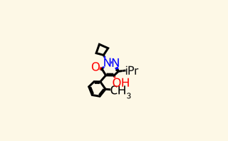 Cc1ccccc1-c1c(O)c(C(C)C)nn(C2CCC2)c1=O